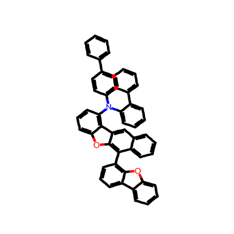 c1ccc(-c2ccc(N(c3ccccc3-c3ccccc3)c3cccc4oc5c(-c6cccc7c6oc6ccccc67)c6ccccc6cc5c34)cc2)cc1